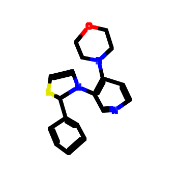 C1=CN(c2cnccc2N2CCOCC2)C(c2ccccc2)S1